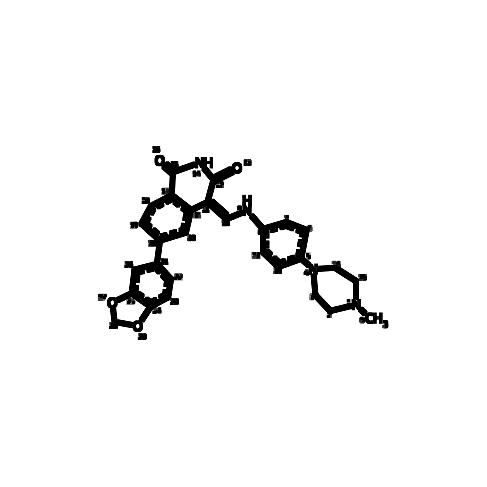 CN1CCN(c2ccc(NC=C3C(=O)NC(=O)c4ccc(-c5ccc6c(c5)OCO6)cc43)cc2)CC1